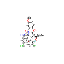 CCOc1cccc(CN2C(O)[C@@H](C(=O)NC)[C@H](C3C(F)=C(Cl)C=CC3C)[C@]23C(=O)Nc2cc(Cl)ccc23)c1